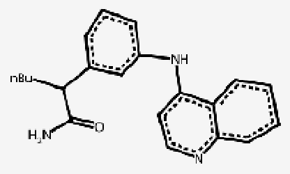 CCCCC(C(N)=O)c1cccc(Nc2ccnc3ccccc23)c1